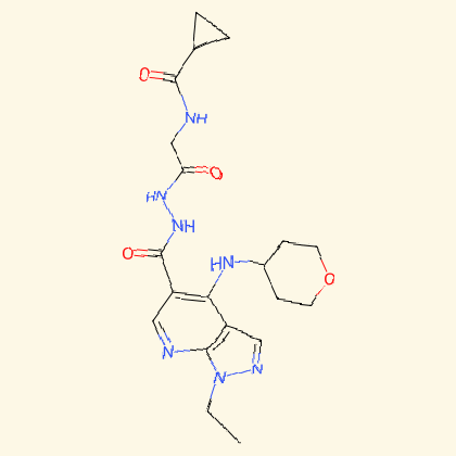 CCn1ncc2c(NC3CCOCC3)c(C(=O)NNC(=O)CNC(=O)C3CC3)cnc21